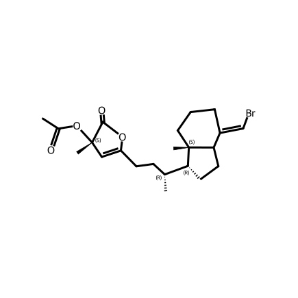 CC(=O)O[C@@]1(C)C=C(CC[C@@H](C)[C@H]2CCC3C(=CBr)CCC[C@]32C)OC1=O